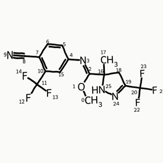 COC(=Nc1ccc(C#N)c(C(F)(F)F)c1)C1(C)CC(C(F)(F)F)=NN1